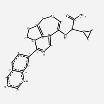 NC(=O)C(NC1=COCC2=C3C1=CN=C(c1ccc4cncnc4c1)N3CC2)C1CC1